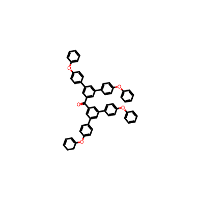 O=C(c1cc(-c2ccc(OC3=CC=CCC3)cc2)cc(-c2ccc(Oc3ccccc3)cc2)c1)c1cc(-c2ccc(Oc3ccccc3)cc2)cc(-c2ccc(Oc3ccccc3)cc2)c1